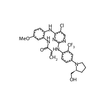 C=CC(=O)Nc1cc(OC)ccc1Nc1nc(Nc2ccc(N3CCC[C@H]3CO)cc2C(F)(F)F)ncc1Cl